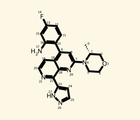 C[C@@H]1COCCN1c1cc(-c2ccc(F)cc2N)c2ccnc(-c3ccn[nH]3)c2n1